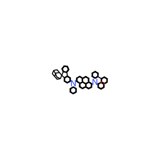 c1ccc(-c2ccccc2N(c2ccccc2)c2ccc3ccc4c(N(c5ccccc5)c5ccc6c(c5)-c5ccccc5C65C6CC7CC(C6)CC5C7)ccc5ccc2c3c54)cc1